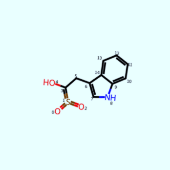 O=S(=O)=C(O)Cc1c[nH]c2ccccc12